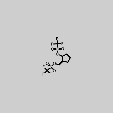 O=S(=O)(OC=C1CCCC1OS(=O)(=O)C(F)(F)F)C(F)(F)F